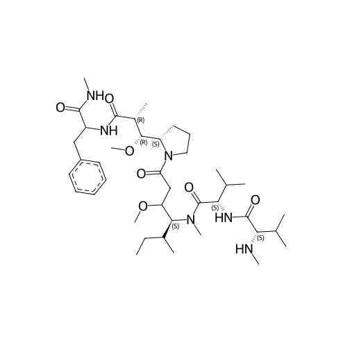 CCC(C)[C@@H](C(CC(=O)N1CCC[C@H]1[C@H](OC)[C@@H](C)C(=O)NC(Cc1ccccc1)C(=O)NC)OC)N(C)C(=O)[C@@H](NC(=O)[C@@H](NC)C(C)C)C(C)C